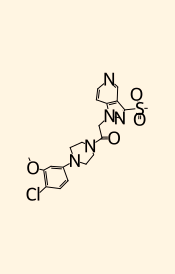 COc1cc(N2CCN(C(=O)Cn3nc(S(C)(=O)=O)c4cnccc43)CC2)ccc1Cl